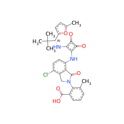 Cc1ccc([C@H](Nc2c(Nc3ccc(Cl)c4c3C(=O)N(c3c(C)cccc3C(=O)O)C4)c(=O)c2=O)C(C)(C)C)o1